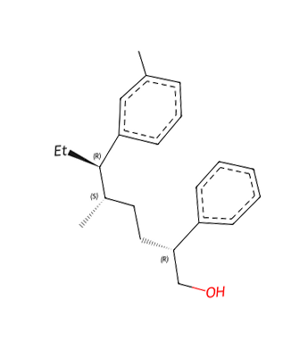 CC[C@@H](c1cccc(C)c1)[C@@H](C)CC[C@@H](CO)c1ccccc1